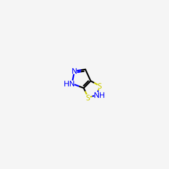 c1n[nH]c2c1SNS2